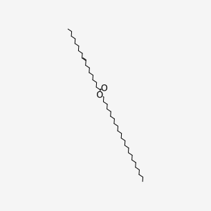 CCCCCCCCC=CCCCCCCCC(=O)OCCCCCCCCCCCCCCCCCCCCCCCC